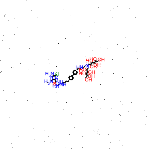 N=C(NCCCCc1ccc(-c2ccc(CC(=O)NCCN(C[C@H](O)[C@@H](O)[C@H](O)[C@H](O)CO)C[C@H](O)[C@@H](O)[C@H](O)[C@H](O)CO)cc2)cc1)NC(=O)c1nc(Cl)c(N)nc1N